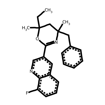 CCC1(C)CC(C)(Cc2ccccc2)N=C(c2cnc3c(F)cccc3c2)O1